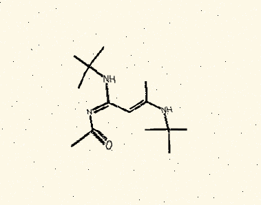 CC(=O)/N=C(\C=C(/C)NC(C)(C)C)NC(C)(C)C